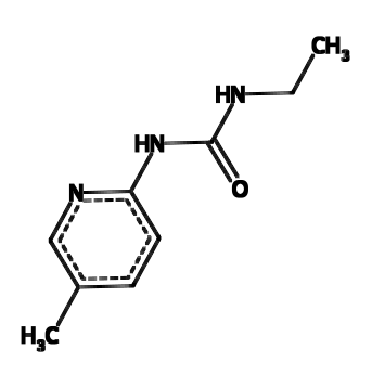 CCNC(=O)Nc1ccc(C)cn1